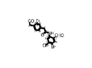 CCOC(=O)Cc1ccc(CC(=O)Nc2cc(Cl)c(Br)cc2C=O)cc1